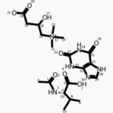 CC(=O)N[C@H](C(=O)O)C(C)C.C[N+](C)(C)CC(O)CC(=O)[O-].O=c1[nH]c(=O)c2[nH]cnc2[nH]1